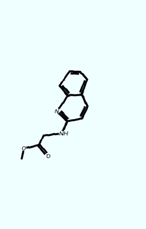 COC(=O)CNc1ccc2ccccc2n1